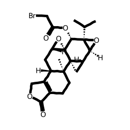 CC(C)[C@]12O[C@H]1[C@@H]1C[C@]13[C@]1(O[C@H]1C[C@H]1C4=C(CC[C@@]13C)C(=O)OC4)[C@@H]2OC(=O)CBr